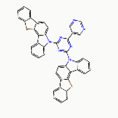 c1ccc2c(c1)sc1c2ccc2c1c1ccccc1n2-c1nc(-c2cncnc2)nc(-n2c3ccccc3c3c4sc5ccccc5c4ccc32)n1